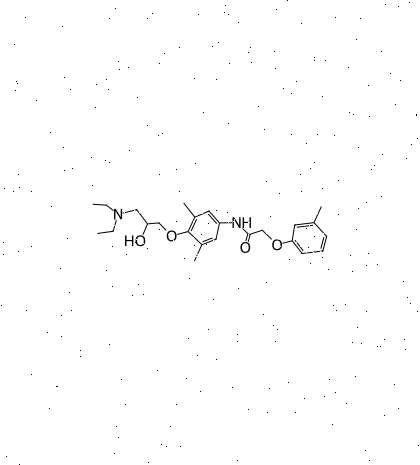 CCN(CC)CC(O)COc1c(C)cc(NC(=O)COc2cccc(C)c2)cc1C